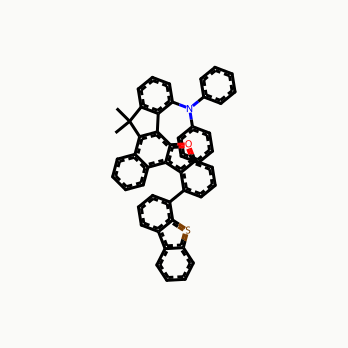 CC1(C)c2cccc(N(c3ccccc3)c3ccccc3)c2-c2c1c1ccccc1c1c2oc2cccc(-c3cccc4c3sc3ccccc34)c21